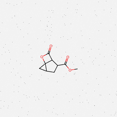 COC(=O)C1CC2CC23OC(=O)C13